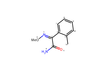 CO/N=C(\C(N)=O)c1ccccc1C